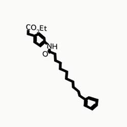 CCOC(=O)Cc1ccc(NC(=O)CCCCCCCCCCc2ccccc2)cc1